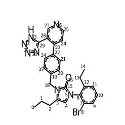 CCCc1cn(-c2c(Br)cccc2CC)c(=O)n1Cc1ccc(-c2ccncc2-c2nnn[nH]2)cc1